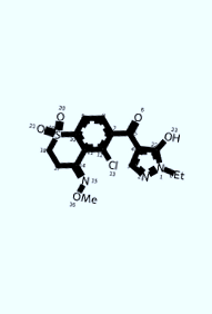 CCn1ncc(C(=O)c2ccc3c(c2Cl)C(=NOC)CCS3(=O)=O)c1O